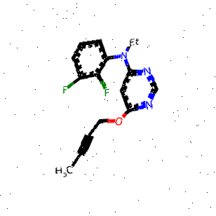 CC#CCOc1cc(N(CC)c2cccc(F)c2F)ncn1